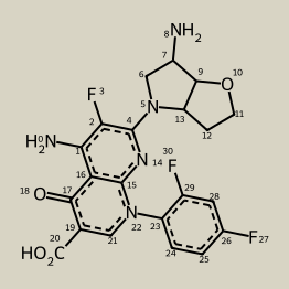 Nc1c(F)c(N2CC(N)C3OCCC32)nc2c1c(=O)c(C(=O)O)cn2-c1ccc(F)cc1F